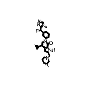 C[C@H]1CCCN(Cc2cc3c(C4CC4)cn(-c4cccc(C(F)c5nncn5C)c4)c(=O)c3[nH]2)C1